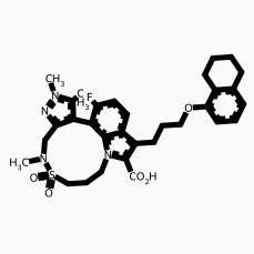 Cc1c2c(nn1C)CN(C)S(=O)(=O)CCCn1c(C(=O)O)c(CCCOc3cccc4c3CCCC4)c3ccc(F)c-2c31